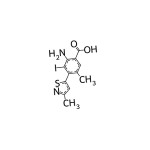 Cc1cc(-c2c(C)cc(C(=O)O)c(N)c2I)sn1